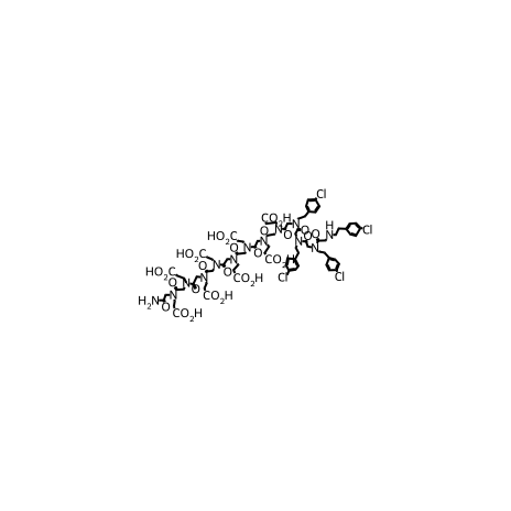 NC(=O)CN(CCC(=O)O)C(=O)CN(CCC(=O)O)C(=O)CN(CCC(=O)O)C(=O)CN(CCC(=O)O)C(=O)CN(CCC(=O)O)C(=O)CN(CCC(=O)O)C(=O)CN(CCC(=O)O)C(=O)CN(CCC(=O)O)C(=O)CN(CCc1ccc(Cl)cc1)C(=O)CN(CCc1ccc(Cl)cc1)C(=O)CN(CCc1ccc(Cl)cc1)C(=O)CNCCc1ccc(Cl)cc1